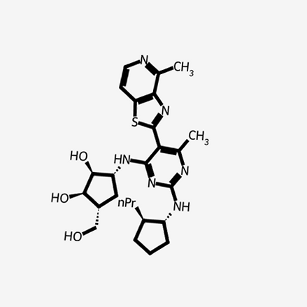 CCC[C@@H]1CCC[C@H]1Nc1nc(C)c(-c2nc3c(C)nccc3s2)c(N[C@@H]2C[C@H](CO)[C@@H](O)[C@H]2O)n1